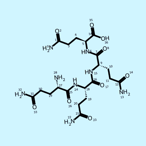 NC(=O)CC[C@H](NC(=O)[C@H](CCC(N)=O)NC(=O)[C@H](CCC(N)=O)NC(=O)[C@@H](N)CCC(N)=O)C(=O)O